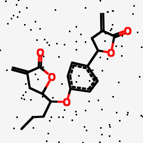 C=C1CC(c2ccc(OC(CCC)C3CC(=C)C(=O)O3)cc2)OC1=O